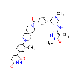 Cc1cc(C2CCC(=O)NC2=O)ccc1N1CCC2(CCN(C(=O)c3ccc([C@H]4C[C@@H](Nc5cnn(C)c(=O)c5C)CN(C)C4)cc3)CC2)CC1